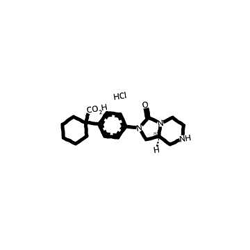 Cl.O=C1N(c2ccc(C3(C(=O)O)CCCCC3)cc2)C[C@@H]2CNCCN12